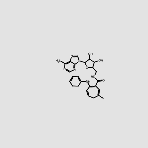 CC1=CC(C(=O)NCC2OC(n3cnc4c(N)ncnc43)C(O)C2O)=C(NC2=CC=CCC2)C=CC1